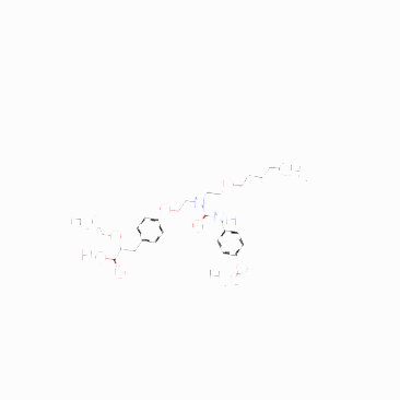 CCCCCOCCN(CCOc1ccc(CC(OCC)C(=O)O)cc1)C(=O)Nc1ccc(OC)cc1